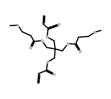 C=CC(=O)OCC(COC(=O)C=C)(COC(=O)CCSC)COC(=O)CCSC